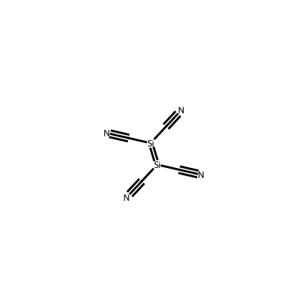 N#C[Si](C#N)=[Si](C#N)C#N